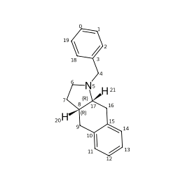 c1ccc(CN2CC[C@H]3Cc4ccccc4C[C@H]32)cc1